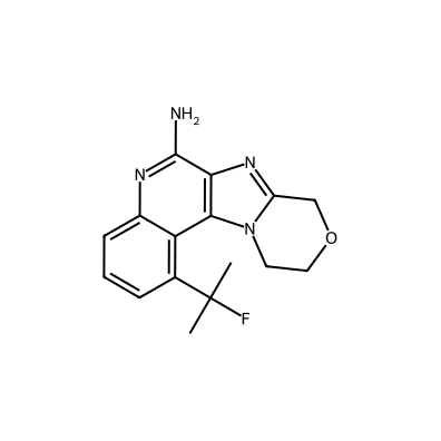 CC(C)(F)c1cccc2nc(N)c3nc4n(c3c12)CCOC4